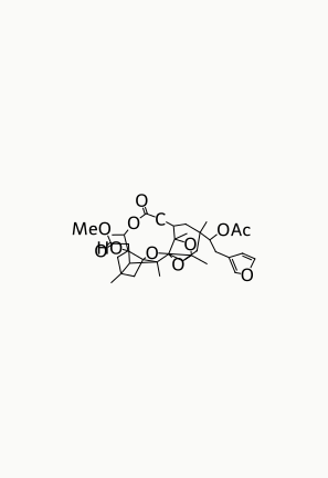 COC(=O)CC1C2(C)CC3(O)C(C)OC(=O)CC4CC(C)(C(Cc5ccoc5)OC(C)=O)CCC56OC(C)(OC45C)OC3(C2)C16C